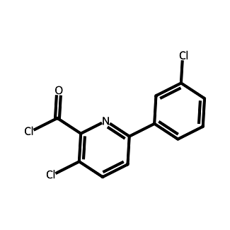 O=C(Cl)c1nc(-c2cccc(Cl)c2)ccc1Cl